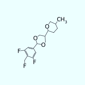 CC1CCC(C2COC(c3cc(F)c(CF)c(F)c3)OC2)OC1